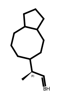 B=C[C@@H](C)C1CCCC2CCCC2CC1